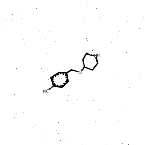 N#Cc1ccc(COC2CCNCC2)cc1